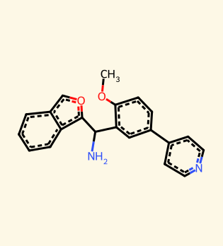 COc1ccc(-c2ccncc2)cc1C(N)c1occ2ccccc12